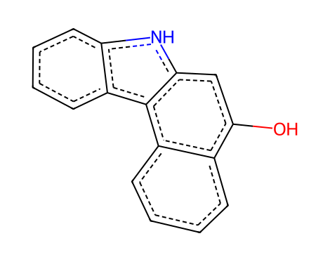 Oc1cc2[nH]c3ccccc3c2c2ccccc12